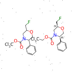 O=C(OC(Cl)(Cl)Cl)N1CC(CF)OCC1c1ccccc1.O=C(OCC(Cl)(Cl)Cl)N1C[C@@H](CF)OC[C@H]1c1ccccc1